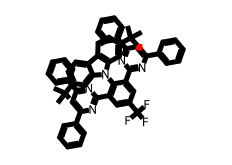 CC(C)(C)c1ccc2c3ccc(C(C)(C)C)cc3n(-c3c(-c4nc(-c5ccccc5)cc(-c5ccccc5)n4)cc(C(F)(F)F)cc3-c3nc(-c4ccccc4)cc(-c4ccccc4)n3)c2c1